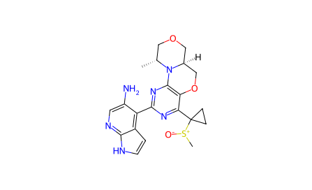 C[C@@H]1COC[C@H]2COc3c(nc(-c4c(N)cnc5[nH]ccc45)nc3C3([S+](C)[O-])CC3)N21